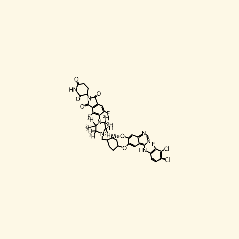 [2H]C1([2H])N(CC2CCC(Oc3cc4c(Nc5ccc(Cl)c(Cl)c5F)ncnc4cc3OC)CC2)C([2H])([2H])C([2H])([2H])N(c2c(F)cc3c(c2F)C(=O)N(C2CCC(=O)NC2=O)C3=O)C1([2H])[2H]